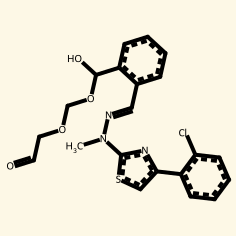 CN(/N=C/c1ccccc1C(O)OCOCC=O)c1nc(-c2ccccc2Cl)cs1